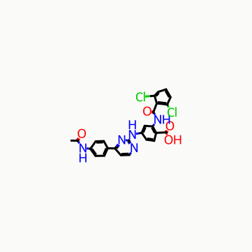 CC(=O)Nc1ccc(-c2ccnc(Nc3ccc(C(=O)O)c(NC(=O)c4c(Cl)cccc4Cl)c3)n2)cc1